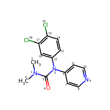 CN(C)C(=O)N(c1ccncc1)c1ccc(Cl)c(Cl)c1